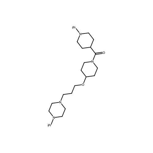 CC(C)N1CCC(C(=O)N2CCC(OCCCN3CCN(C(C)C)CC3)CC2)CC1